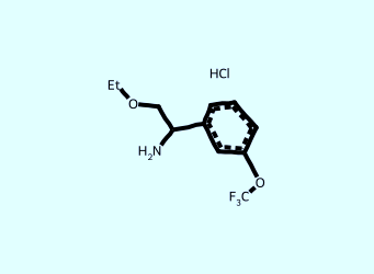 CCOCC(N)c1cccc(OC(F)(F)F)c1.Cl